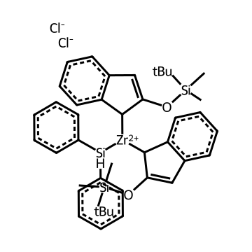 CC(C)(C)[Si](C)(C)OC1=Cc2ccccc2[CH]1[Zr+2]([CH]1C(O[Si](C)(C)C(C)(C)C)=Cc2ccccc21)[SiH](c1ccccc1)c1ccccc1.[Cl-].[Cl-]